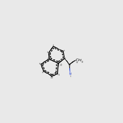 CC([N])c1cccc2ccccc12